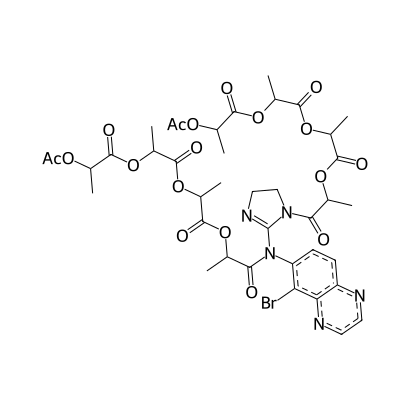 CC(=O)OC(C)C(=O)OC(C)C(=O)OC(C)C(=O)OC(C)C(=O)N1CCN=C1N(C(=O)C(C)OC(=O)C(C)OC(=O)C(C)OC(=O)C(C)OC(C)=O)c1ccc2nccnc2c1Br